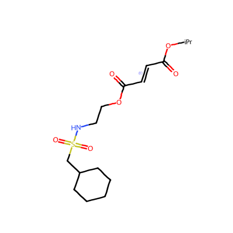 CC(C)OC(=O)/C=C/C(=O)OCCNS(=O)(=O)CC1CCCCC1